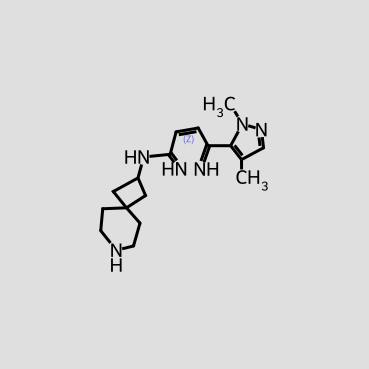 Cc1cnn(C)c1C(=N)/C=C\C(=N)NC1CC2(CCNCC2)C1